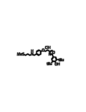 CSCCCNCc1ccc(OCCc2coc(-c3cc(C(C)(C)C)c(O)c(C(C)(C)C)c3)n2)cc1.Cl